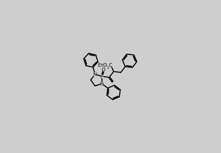 C=C(C(Cc1ccccc1)C(=O)OCC)P1(=O)N(c2ccccc2)CCN1c1ccccc1